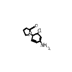 Nc1ccc(N2CCCC2=O)c(Cl)c1